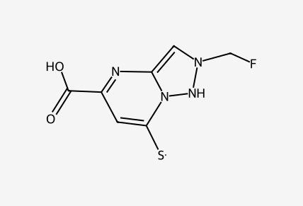 O=C(O)C1=NC2=CN(CF)NN2C([S])=C1